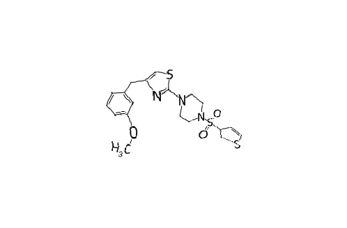 COc1cccc(Cc2csc(N3CCN(S(=O)(=O)C4C=CSC4)CC3)n2)c1